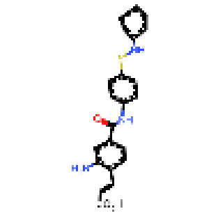 Nc1cc(C(=O)Nc2ccc(SNc3ccccc3)cc2)ccc1/C=C/C(=O)O